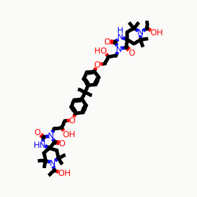 CC(O)N1C(C)(C)CC2(CC1(C)C)NC(=O)N(CC(O)COc1ccc(C(C)(C)c3ccc(OCC(O)CN4C(=O)NC5(CC(C)(C)N(C(C)O)C(C)(C)C5)C4=O)cc3)cc1)C2=O